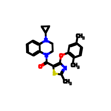 Cc1ccc(C)c(Oc2nc(C)sc2C(=O)N2CCN(C3CC3)c3ccccc32)c1